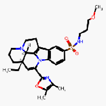 CC[C@@]12C=C(c3nc(C)c(C)o3)n3c4c(c5cc(S(=O)(=O)NCCCOC)ccc53)CCN(CCC1)[C@H]42